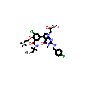 COC(=O)Cn1cc(-c2cc(Cl)c(OCC[Si](C)(C)C)c(C(=O)NC(C)(C)CC(C)(C)C)c2)c2c(=O)n(C)c(NCc3ccc(F)cc3)nc21